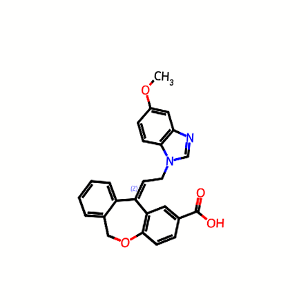 COc1ccc2c(c1)ncn2C/C=C1/c2ccccc2COc2ccc(C(=O)O)cc21